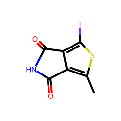 Cc1sc(I)c2c1C(=O)NC2=O